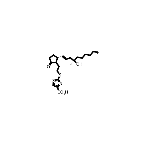 C[C@](O)(C/C=C/[C@H]1CCC(=O)C1CCSc1nc(C(=O)O)cs1)CCCCCF